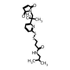 CC(C)CNC(=O)CCSSc1cccc(C(C)(C)CN2C(=O)C=CC2=O)n1